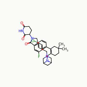 CC1(C)CCC(CN2C3CC2CN(Cc2cc4c(cc2F)C(=O)N(C2CCC(=O)NC2=O)C4)C3)=C(c2ccc(Cl)cc2)C1